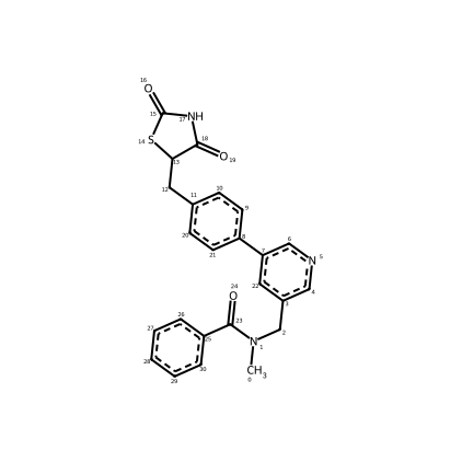 CN(Cc1cncc(-c2ccc(CC3SC(=O)NC3=O)cc2)c1)C(=O)c1ccccc1